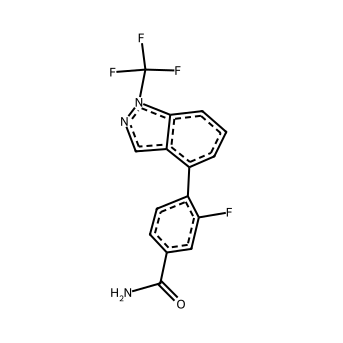 NC(=O)c1ccc(-c2cccc3c2cnn3C(F)(F)F)c(F)c1